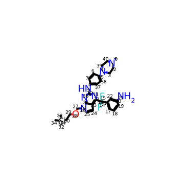 CN1CCN(c2ccc(Nc3nc(C(F)(F)c4cccc(N)c4)c4ccn(COCC[Si](C)(C)C)c4n3)cc2)CC1